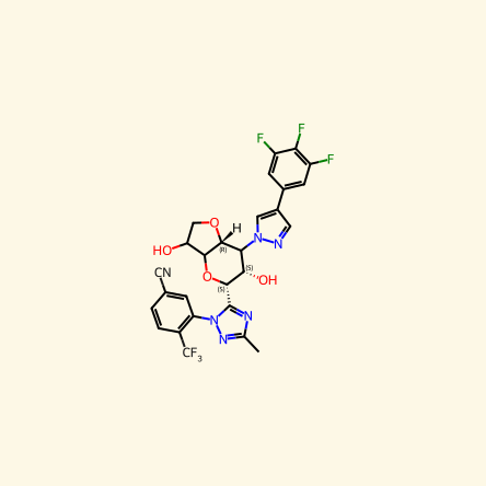 Cc1nc([C@@H]2OC3C(O)CO[C@@H]3C(n3cc(-c4cc(F)c(F)c(F)c4)cn3)[C@@H]2O)n(-c2cc(C#N)ccc2C(F)(F)F)n1